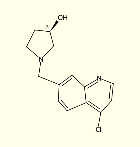 O[C@@H]1CCN(Cc2ccc3c(Cl)ccnc3c2)C1